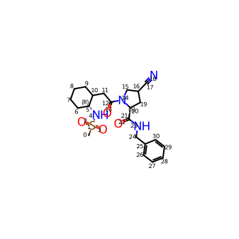 CS(=O)(=O)N[C@@H]1CCCCC1CC(=O)N1CC(C#N)C[C@H]1C(=O)NCc1ccccc1